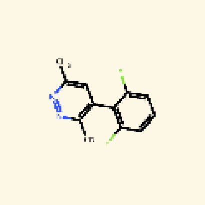 Cc1cc(-c2c(F)cccc2F)c(C#N)nn1